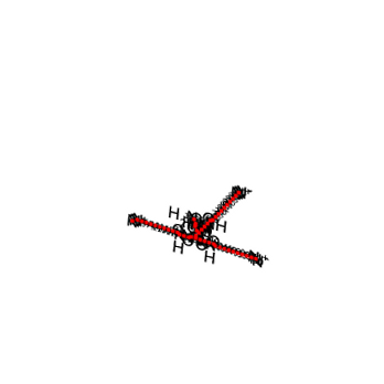 [N-]=[N+]=NCCCCCCCCCCCCCCCCCC(=O)NCCNC(=O)CCN(CCC(=O)NCCNC(=O)CCCCCCCCCCCCCCCCCN=[N+]=[N-])CCN(CCC(=O)NCCNC(=O)CCCCCCCCCCCCCCCCCN=[N+]=[N-])CCC(=O)NCC(N)=O